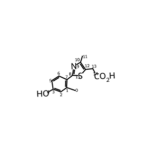 Cc1cc(O)ccc1-c1nc(C)c(CC(=O)O)s1